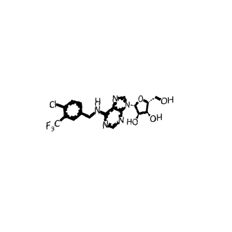 OC[C@H]1O[C@@H](n2cnc3c(NCc4ccc(Cl)c(C(F)(F)F)c4)ncnc32)[C@H](O)[C@@H]1O